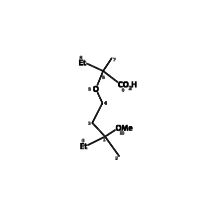 CCC(C)(CCOC(C)(CC)C(=O)O)OC